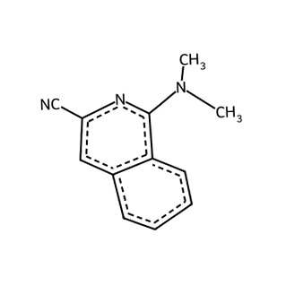 CN(C)c1nc(C#N)cc2ccccc12